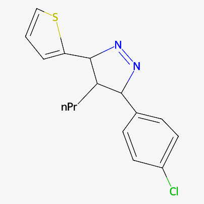 CCCC1C(c2ccc(Cl)cc2)N=NC1c1cccs1